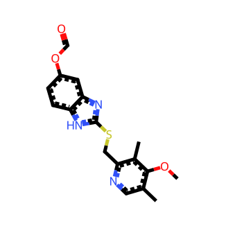 COc1c(C)cnc(CSc2nc3cc(OC=O)ccc3[nH]2)c1C